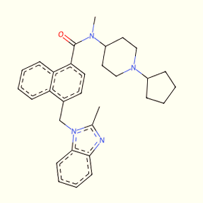 Cc1nc2ccccc2n1Cc1ccc(C(=O)N(C)C2CCN(C3CCCC3)CC2)c2ccccc12